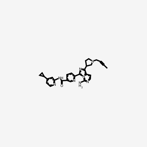 CC#CCN1CCC(c2nc(-c3ccc(C(=O)Nc4cc(C5CC5)ccn4)cn3)n3c(N)nccc23)C1